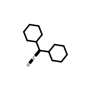 O=C=C(C1CCCCC1)C1CCCCC1